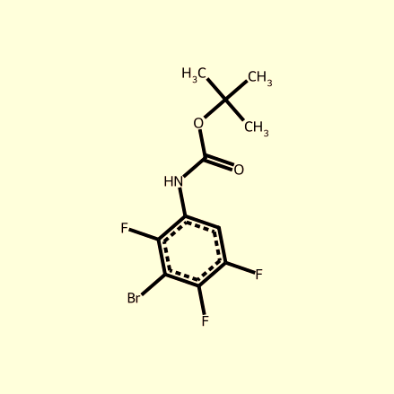 CC(C)(C)OC(=O)Nc1cc(F)c(F)c(Br)c1F